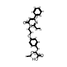 CCO[C@@H](Cc1ccc(OCCn2c(CC)nc(-c3ccccc3)cc2=O)cc1)C(=O)O